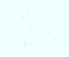 CCN1C(=O)CCCc2c1ccc(Nc1nc(Nc3ccccc3C(=O)NC)c3c(n1)N(Cc1ccc(OC)cc1)CC3)c2OC